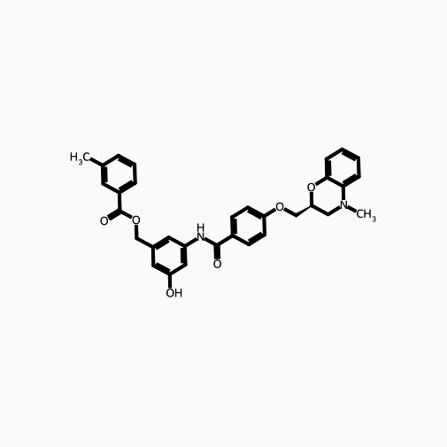 Cc1cccc(C(=O)OCc2cc(O)cc(NC(=O)c3ccc(OC[C@@H]4CN(C)c5ccccc5O4)cc3)c2)c1